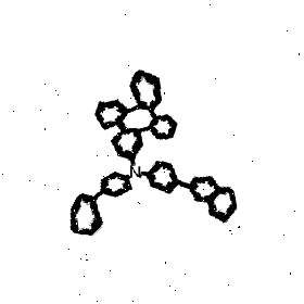 c1ccc(-c2ccc(N(c3ccc(-c4ccc5ccccc5c4)cc3)c3ccc4c(c3)-c3ccccc3-c3ccccc3-c3ccccc3-4)cc2)cc1